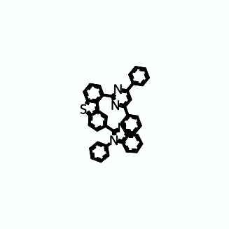 c1ccc(-c2cc(-c3ccccc3)nc(-c3cccc4sc5ccc(-c6nc7ccccc7n6-c6ccccc6)cc5c34)n2)cc1